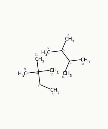 CC(C)C(C)C.CCC(C)(C)C